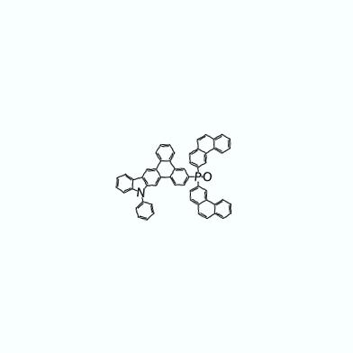 O=P(c1ccc2ccc3ccccc3c2c1)(c1ccc2ccc3ccccc3c2c1)c1ccc2c(c1)c1ccccc1c1cc3c4ccccc4n(-c4ccccc4)c3cc21